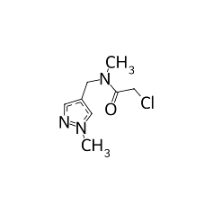 CN(Cc1cnn(C)c1)C(=O)CCl